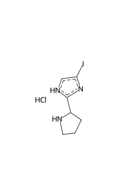 Cl.Ic1c[nH]c(C2CCCN2)n1